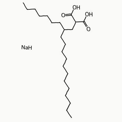 CCCCCCCCCCCCC(CCCCCCC)CC(C(=O)O)C(=O)O.[NaH]